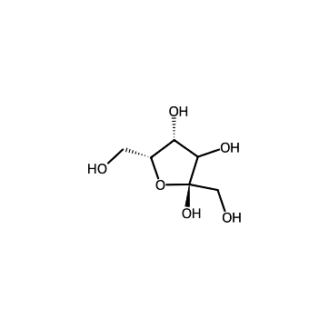 OC[C@H]1O[C@@](O)(CO)C(O)[C@H]1O